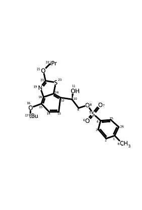 Cc1ccc(S(=O)(=O)OC[C@H](O)c2ccc(OC(C)(C)C)c3nc(OC(C)C)sc23)cc1